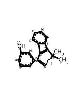 CC1(C)CC=CC2=C1c1ccccc12.Oc1ccccc1